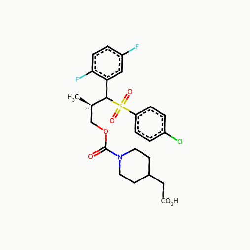 C[C@H](COC(=O)N1CCC(CC(=O)O)CC1)C(c1cc(F)ccc1F)S(=O)(=O)c1ccc(Cl)cc1